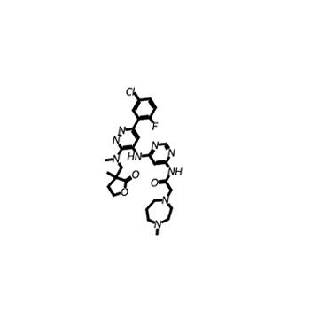 CN1CCCN(CC(=O)Nc2cc(Nc3cc(-c4cc(Cl)ccc4F)nnc3N(C)CC3(C)CCOC3=O)ncn2)CC1